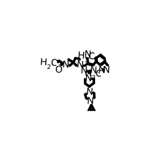 C=CC(=O)N1CC2(CCN(c3nc(N4CCC(N5CCN(C6CC6)CC5)CC4)nc(-c4c(C)ccc5cnn(C)c45)c3C#N)C2)C1